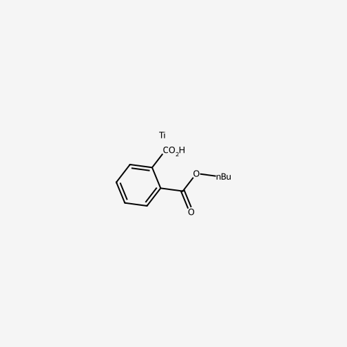 CCCCOC(=O)c1ccccc1C(=O)O.[Ti]